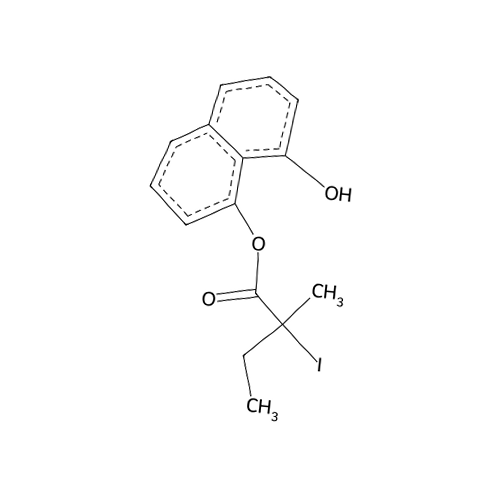 CCC(C)(I)C(=O)Oc1cccc2cccc(O)c12